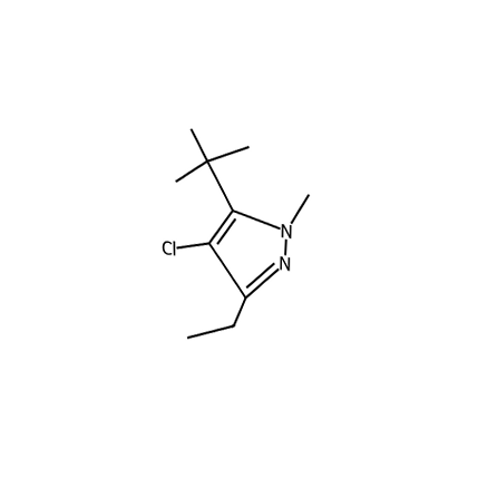 CCc1nn(C)c(C(C)(C)C)c1Cl